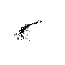 CCCCCCCCCCOC(=O)OC1CC[C@@]2(C)C(=CCC3C2CC[C@@]2(C)C3CC[C@@H]2[C@H](C)CCCC(C)C)C1